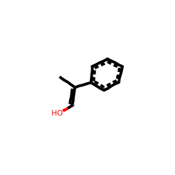 CC(=[C]O)c1ccccc1